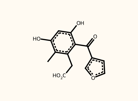 Cc1c(O)cc(O)c(C(=O)c2ccoc2)c1CC(=O)O